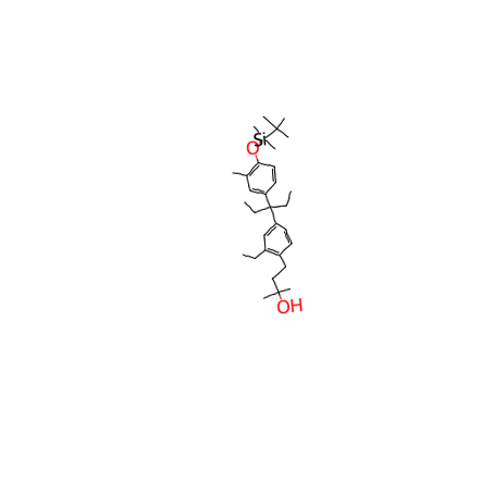 CCc1cc(C(CC)(CC)c2ccc(O[Si](C)(C)C(C)(C)C)c(C)c2)ccc1CCC(C)(C)O